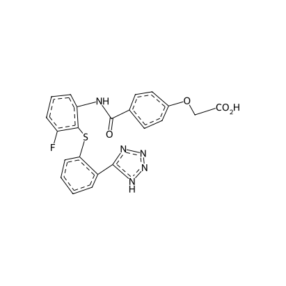 O=C(O)COc1ccc(C(=O)Nc2cccc(F)c2Sc2ccccc2-c2nnn[nH]2)cc1